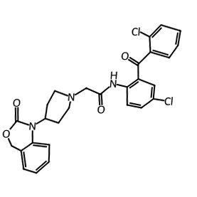 O=C(CN1CCC(N2C(=O)OCc3ccccc32)CC1)Nc1ccc(Cl)cc1C(=O)c1ccccc1Cl